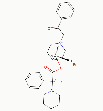 C[C@@](C(=O)O[C@H]1C[N+]2(CC(=O)c3ccccc3)CCC1CC2)(c1ccccc1)N1CCCCC1.[Br-]